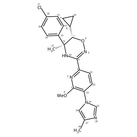 COc1nc(C2=NO[C@@H](C3CC3)[C@](C)(c3ccc(Cl)cc3)N2)ccc1-n1cnc(C)c1